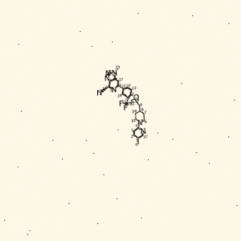 Cc1ccc(N2CCC(CCOc3ccc(-c4cc5c(nnn5C)c(C#N)n4)cc3C(F)(F)F)CC2)nc1